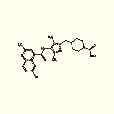 COC(=O)N1CCC(Cn2nc(C)c(NC(=O)c3cc(C(F)(F)F)nc4ccc(Br)cc34)c2C)CC1